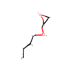 CCCCOC1CO1